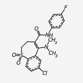 CN(C)C1=C(C(=O)Nc2ccc(F)cc2)CCS(=O)(=O)c2ccc(Cl)cc21